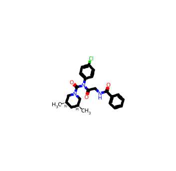 C[C@@H]1C[C@H](C)CN(C(=O)N(C(=O)CNC(=O)c2ccccc2)c2ccc(Cl)cc2)C1